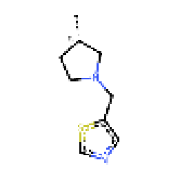 C[C@H]1CCN(Cc2cncs2)C1